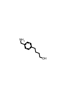 NCc1ccc(CCCCO)cc1